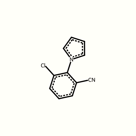 N#Cc1cccc(Cl)c1-n1cccc1